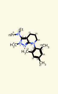 CCCN(CC)c1c2c(nn1C)N(c1c(C)cc(C)cc1C)CCC2